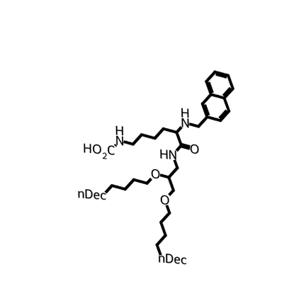 CCCCCCCCCCCCCCOCC(CNC(=O)C(CCCCNC(=O)O)NCc1ccc2ccccc2c1)OCCCCCCCCCCCCCC